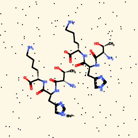 C[C@@H](O)[C@H](N)C(=O)N[C@@H](Cc1c[nH]cn1)C(=O)N[C@@H](CCCCN)C(=O)[O-].C[C@@H](O)[C@H](N)C(=O)N[C@@H](Cc1c[nH]cn1)C(=O)N[C@@H](CCCCN)C(=O)[O-].[Mn+2]